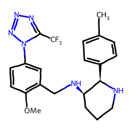 COc1ccc(-n2nnnc2C(F)(F)F)cc1CN[C@@H]1CCCN[C@@H]1c1ccc(C)cc1